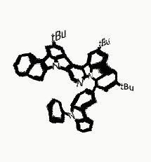 CC(C)(C)c1cc(-c2ccc3c(c2)c2ccccc2n3-c2ccccc2)c2c(c1)c1cc(C(C)(C)C)cc3c4c5c6cc(C(C)(C)C)cc7c8c9ccccc9ccc8n(c5cnc4n2c13)c76